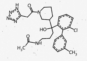 CC(=O)NCCCC(O)(c1cccc(Cl)c1-c1cccc(C)c1)C1CCCN(C(=O)Cc2nnn[nH]2)C1